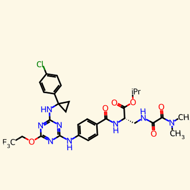 CC(C)OC(=O)[C@H](CNC(=O)C(=O)N(C)C)NC(=O)c1ccc(Nc2nc(NC3(c4ccc(Cl)cc4)CC3)nc(OCC(F)(F)F)n2)cc1